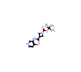 CC(C)(C)OC(=O)N1CC(C(=O)Nc2cnccc2I)C1